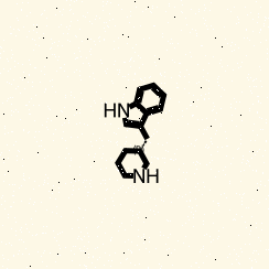 c1ccc2c(C[C@H]3CCCNC3)c[nH]c2c1